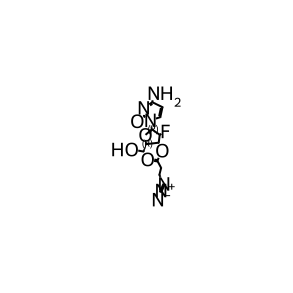 [N-]=[N+]=NCCC(=O)OC1C(F)[C@H](n2ccc(N)nc2=O)O[C@@H]1CO